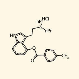 CCCN(CCC)CCc1c[nH]c2cccc(OC(=O)c3ccc(C(F)(F)F)cc3)c12.Cl